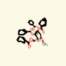 CO[C@H]1C[C@H](OC(=O)c2ccccc2)[C@@H](OC(=O)c2ccccc2)[C@H](OC(=O)c2ccccc2)[C@@H](COC(=O)c2ccccc2)O1